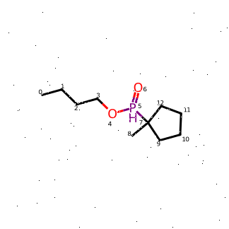 CCCCO[PH](=O)C1(C)CCCC1